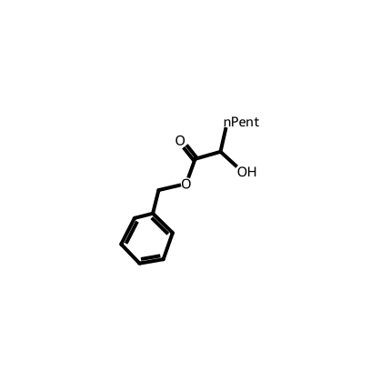 CCCCCC(O)C(=O)OCc1ccccc1